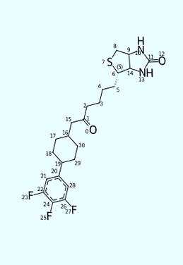 O=C(CCCC[C@@H]1SCC2NC(=O)NC21)CC1CCC(c2cc(F)c(F)c(F)c2)CC1